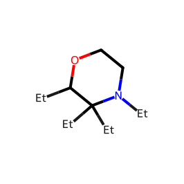 CCC1OCCN(CC)C1(CC)CC